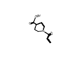 C=CC(=O)N1CCC(C(=O)OCC(C)C)CC1